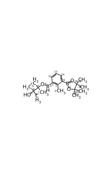 Cc1c(BOC(C)(C)C(C)(C)O)cccc1B1OC(C)(C)C(C)(C)O1